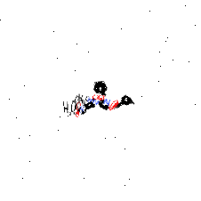 Cn1c(=O)n(-c2ccc(OCc3ccccc3)nc2OCc2ccccc2)c2ccc3c(c21)CN(C(=O)OC(C)(C)C)CC3